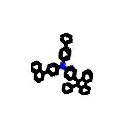 c1ccc(-c2ccc(N(c3ccc(-c4cccc5ccccc45)cc3)c3ccc(-c4c(-c5ccccc5)c5ccccc5c5ccccc45)cc3)cc2)cc1